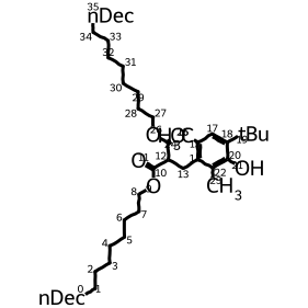 CCCCCCCCCCCCCCCCCCOC(=O)C(Cc1c(C)cc(C(C)(C)C)c(O)c1C)C(=O)OCCCCCCCCCCCCCCCCCC